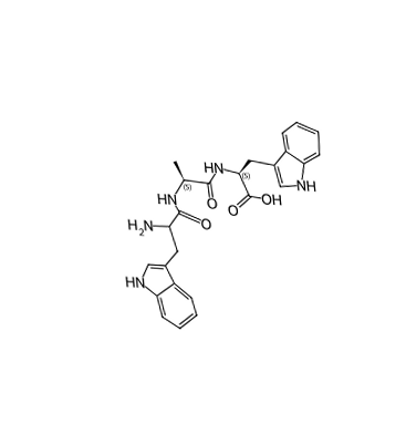 C[C@H](NC(=O)C(N)Cc1c[nH]c2ccccc12)C(=O)N[C@@H](Cc1c[nH]c2ccccc12)C(=O)O